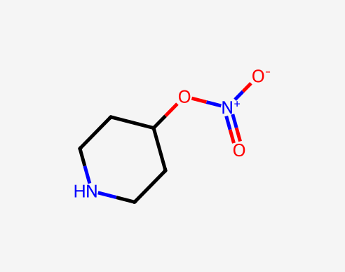 O=[N+]([O-])OC1CCNCC1